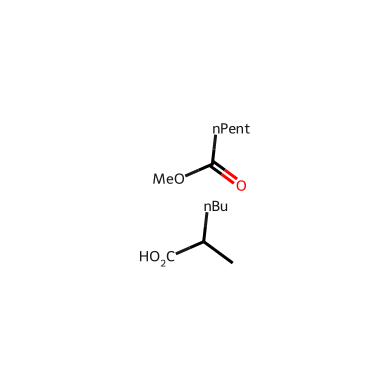 CCCCC(C)C(=O)O.CCCCCC(=O)OC